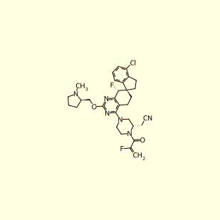 C=C(F)C(=O)N1CCN(c2nc(OC[C@H]3CCCN3C)nc3c2CC[C@@]2(CCc4c(Cl)cccc42)[C@H]3F)C[C@@H]1CC#N